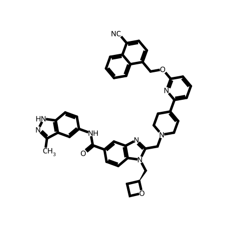 Cc1n[nH]c2ccc(NC(=O)c3ccc4c(c3)nc(CN3CC=C(c5cccc(OCc6ccc(C#N)c7ccccc67)n5)CC3)n4C[C@@H]3CCO3)cc12